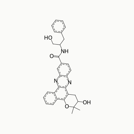 CC1(C)Oc2c(c3nc4ccc(C(=O)NC(CO)Cc5ccccc5)cc4nc3c3ccccc23)CC1O